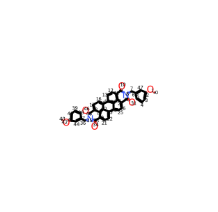 COc1cccc(CN2C(=O)c3ccc4c5ccc6c7c(ccc(c8ccc(c3c48)C2=O)c75)C(=O)N(Cc2cccc(OC)c2)C6=O)c1